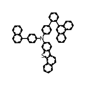 c1ccc(-c2cc3ccccc3c3ccccc23)c(-c2ccc(N(c3ccc(-c4cccc5ccccc45)cc3)c3ccc4c(c3)sc3c5ccccc5ccc43)cc2)c1